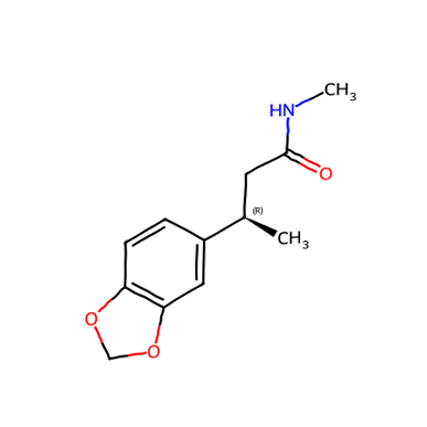 CNC(=O)C[C@@H](C)c1ccc2c(c1)OCO2